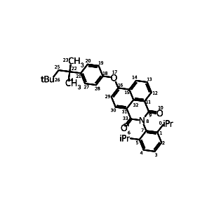 CC(C)c1cccc(C(C)C)c1N1C(=O)c2cccc3c(Oc4ccc(C(C)(C)CC(C)(C)C)cc4)ccc(c23)C1=O